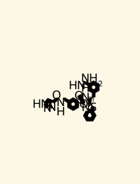 N=C(N)c1cccc(C[C@H](NS(=O)(=O)c2cccc(CNC(=O)c3c[nH]nn3)c2)c2nc3ccccc3s2)c1